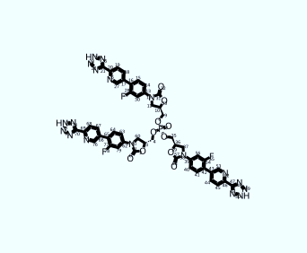 O=C1O[C@@H](COP(=O)(OC[C@H]2CN(c3ccc(-c4ccc(-c5nn[nH]n5)nc4)c(F)c3)C(=O)O2)OC[C@H]2CN(c3ccc(-c4ccc(-c5nn[nH]n5)nc4)c(F)c3)C(=O)O2)CN1c1ccc(-c2ccc(-c3nn[nH]n3)nc2)c(F)c1